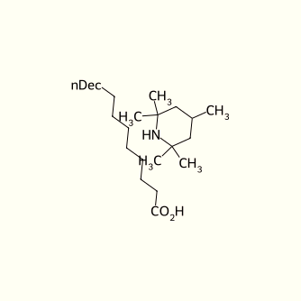 CC1CC(C)(C)NC(C)(C)C1.CCCCCCCCCCCCCCCCCC(=O)O